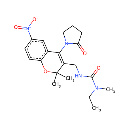 CCN(C)C(=O)NCC1=C(N2CCCC2=O)c2cc([N+](=O)[O-])ccc2OC1(C)C